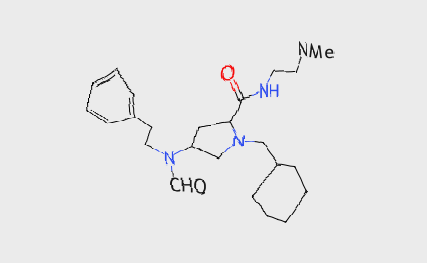 CNCCNC(=O)C1CC(N(C=O)CCc2ccccc2)CN1CC1CCCCC1